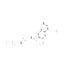 Cc1cc(=O)oc2cc(NC(=O)CNC(=O)CN)ccc12.Cl